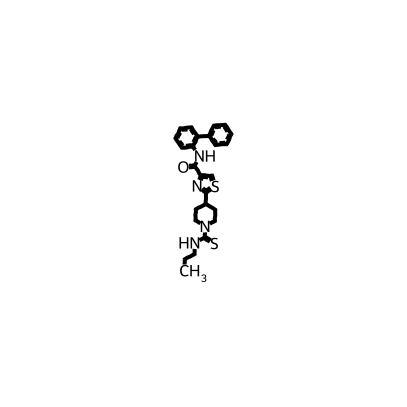 CCCNC(=S)N1CCC(c2nc(C(=O)Nc3ccccc3-c3ccccc3)cs2)CC1